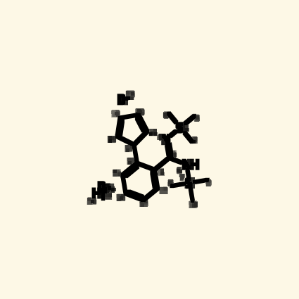 C[Si](C)(C)N=C(N[Si](C)(C)C)c1ccccc1C1C=CC=C1.[Br-].[Br-].[Hf+2]